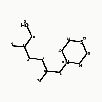 CC(CO)CCC(C)CN1CCSCC1